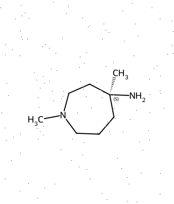 CN1CCC[C@](C)(N)CC1